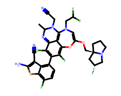 CC1N=c2c(Cl)c(-c3ccc(F)c4sc(N)c(C#N)c34)c(F)c3c2=C(N(CC(F)F)C=C(OC[C@@]24CCCN2C[C@H](F)C4)O3)N1CC#N